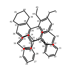 CCc1ccc(P(c2ccccc2)c2ccccc2)c(-c2c(P(c3ccccc3)c3ccccc3)ccc3c2CCCC3)c1CC